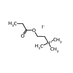 CCC(=O)OCC[N+](C)(C)C.[I-]